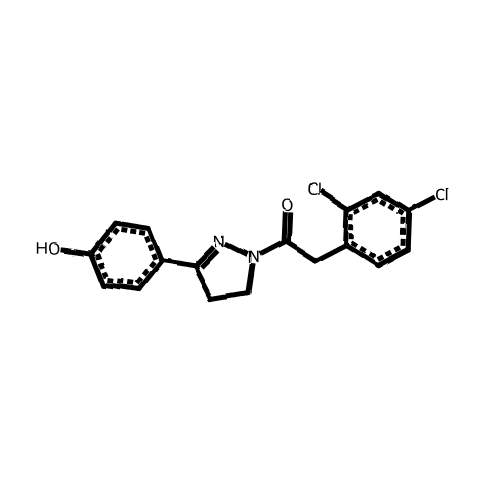 O=C(Cc1ccc(Cl)cc1Cl)N1CCC(c2ccc(O)cc2)=N1